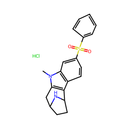 Cl.Cn1c2c(c3ccc(S(=O)(=O)c4ccccc4)cc31)C1CCC(C2)N1